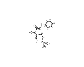 CC(C)C(=O)C1CCC(C(=O)C(=O)OCc2ccccc2)CC1